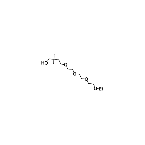 [CH2]COCCOCCOCCOCCC(C)(C)CO